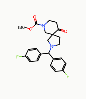 CC(C)(C)OC(=O)N1CCC(=O)C2(CCN(C(c3ccc(F)cc3)c3ccc(F)cc3)C2)C1